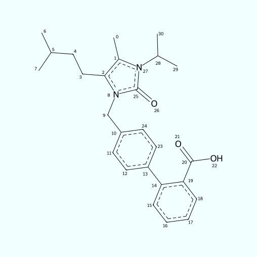 Cc1c(CCC(C)C)n(Cc2ccc(-c3ccccc3C(=O)O)cc2)c(=O)n1C(C)C